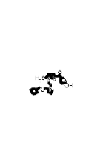 Cc1cc2cc(C(=O)c3ccc(O)nc3)sc2n1CCN1CCCC1COCC1C=CC=CC1